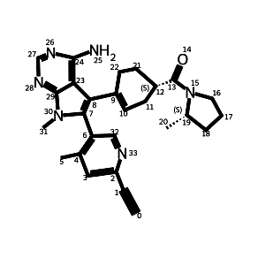 C#Cc1cc(C)c(-c2c(C3=CC[C@@H](C(=O)N4CCC[C@@H]4C)CC3)c3c(N)ncnc3n2C)cn1